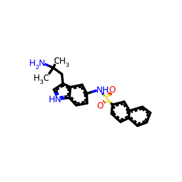 CC(C)(N)Cc1c[nH]c2ccc(NS(=O)(=O)c3ccc4ccccc4c3)cc12